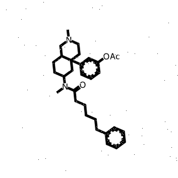 CC(=O)Oc1cccc(C23CCN(C)CC2CCC(N(C)C(=O)CCCCCc2ccccc2)C3)c1